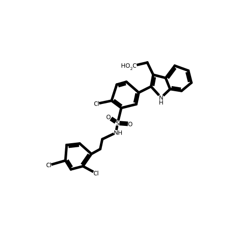 O=C(O)Cc1c(-c2ccc(Cl)c(S(=O)(=O)NCCc3ccc(Cl)cc3Cl)c2)[nH]c2ccccc12